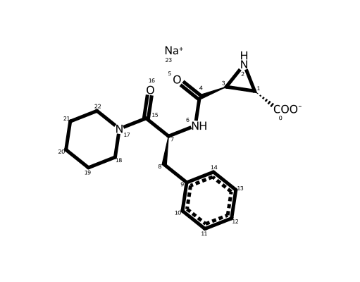 O=C([O-])[C@H]1N[C@@H]1C(=O)N[C@@H](Cc1ccccc1)C(=O)N1CCCCC1.[Na+]